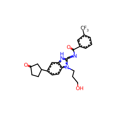 O=C1CCC(c2ccc3c(c2)[nH]/c(=N\C(=O)c2cccc(C(F)(F)F)c2)n3CCCO)C1